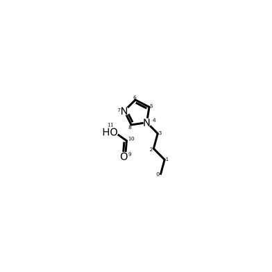 CCCCn1ccnc1.O=CO